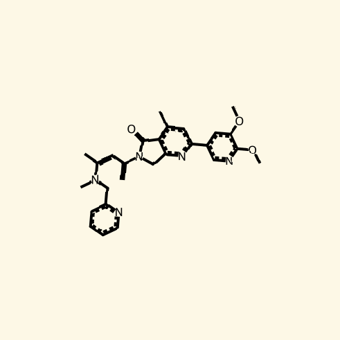 C=C(/C=C(/C)N(C)Cc1ccccn1)N1Cc2nc(-c3cnc(OC)c(OC)c3)cc(C)c2C1=O